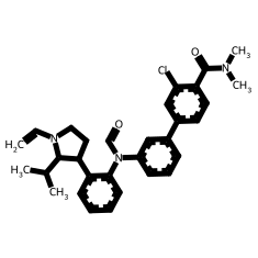 C=CN1CCC(c2ccccc2N(C=O)c2cccc(-c3ccc(C(=O)N(C)C)c(Cl)c3)c2)C1C(C)C